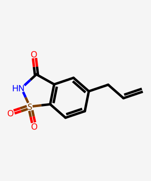 C=CCc1ccc2c(c1)C(=O)NS2(=O)=O